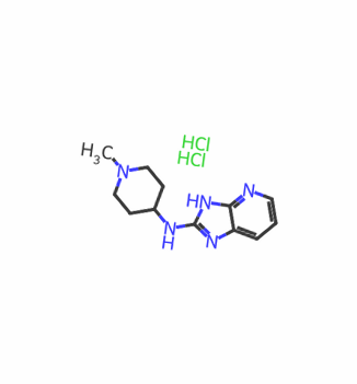 CN1CCC(Nc2nc3cccnc3[nH]2)CC1.Cl.Cl